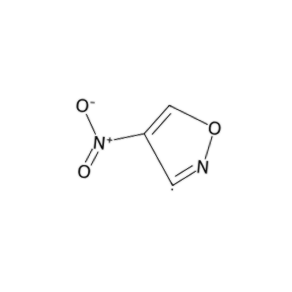 O=[N+]([O-])c1[c]noc1